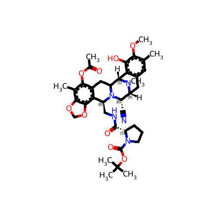 COc1c(C)cc2c(c1O)[C@H]1C3Cc4c(OC(C)=O)c(C)c5c(c4[C@H](CNC(=O)[C@@H]4CCCN4C(=O)OC(C)(C)C)N3[C@@H](C#N)[C@@H](C2)N1C)OCO5